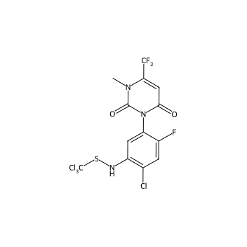 Cn1c(C(F)(F)F)cc(=O)n(-c2cc(NSC(Cl)(Cl)Cl)c(Cl)cc2F)c1=O